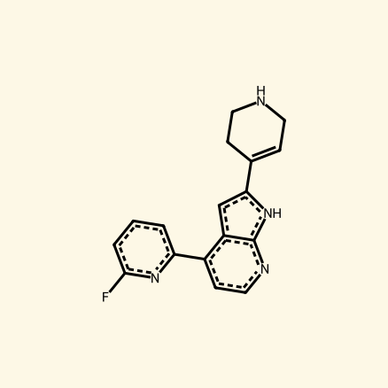 Fc1cccc(-c2ccnc3[nH]c(C4=CCNCC4)cc23)n1